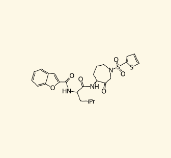 CC(C)CC(NC(=O)c1cc2ccccc2o1)C(=O)N[C@H]1CCCN(S(=O)(=O)c2cccs2)CC1=O